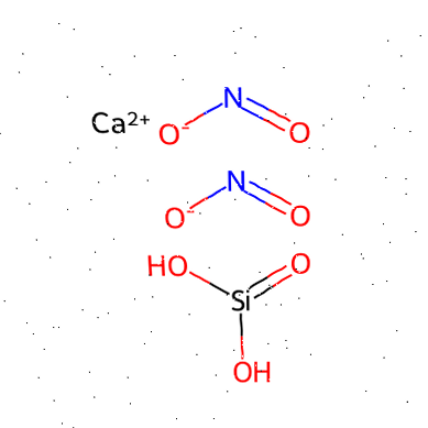 O=N[O-].O=N[O-].O=[Si](O)O.[Ca+2]